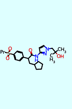 CC(C)S(=O)(=O)c1ccc(C(CC2CCCC2)C(=O)Nc2ccn(CC(C)(C)O)n2)cc1